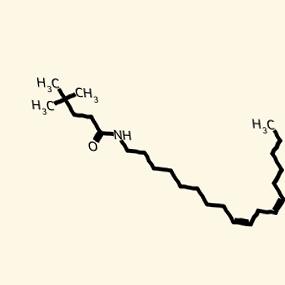 CCCCC/C=C\C/C=C\CCCCCCCCNC(=O)CCC(C)(C)C